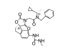 CNC(=O)Nc1ccc2c(c1)[C@@]1(CC2)OC(=O)N(CC(=O)N(Cc2ccccc2)[C@@H](C)C2CC2)C1=O